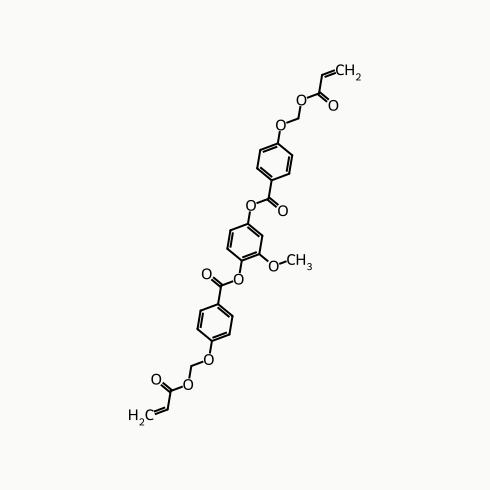 C=CC(=O)OCOc1ccc(C(=O)Oc2ccc(OC(=O)c3ccc(OCOC(=O)C=C)cc3)c(OC)c2)cc1